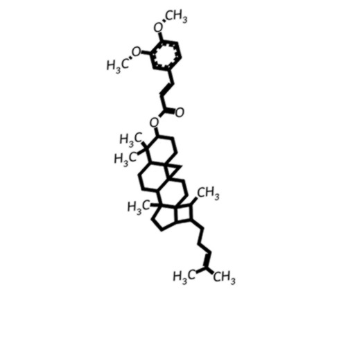 COc1ccc(/C=C/C(=O)OC2CCC34CC35CCC36C(C)C(CCC=C(C)C)C3CCC6(C)C5CCC4C2(C)C)cc1OC